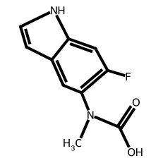 CN(C(=O)O)c1cc2cc[nH]c2cc1F